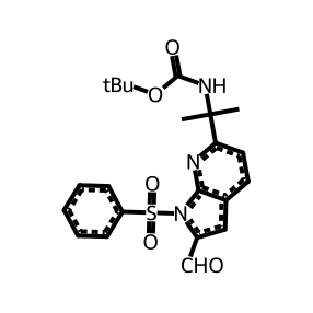 CC(C)(C)OC(=O)NC(C)(C)c1ccc2cc(C=O)n(S(=O)(=O)c3ccccc3)c2n1